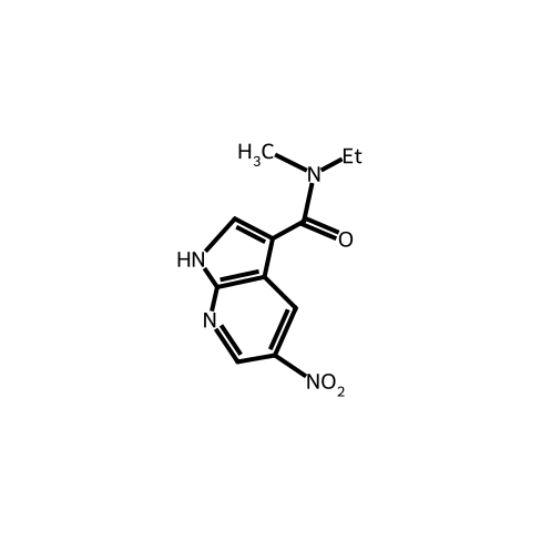 CCN(C)C(=O)c1c[nH]c2ncc([N+](=O)[O-])cc12